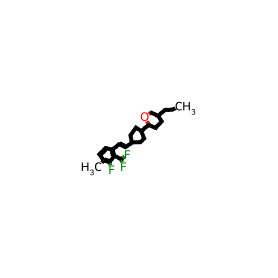 CCCC1CCC(C2CCC(/C=C/c3ccc(C)c(F)c3C(F)F)CC2)OC1